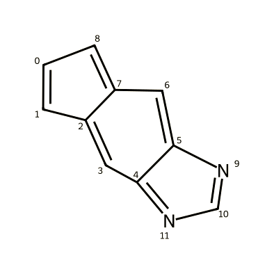 C1=Cc2cc3c(cc2=C1)N=CN=3